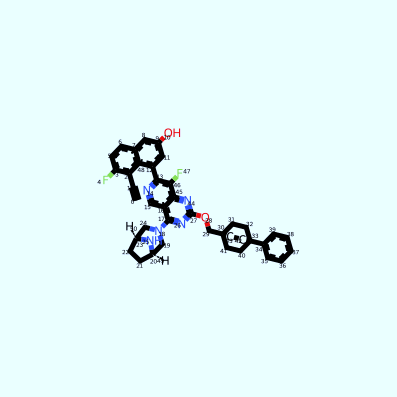 C#Cc1c(F)ccc2cc(O)cc(-c3ncc4c(N5C[C@H]6CC[C@@H](C5)N6)nc(OCC56CCC(c7ccccc7)(CC5)CC6)nc4c3F)c12